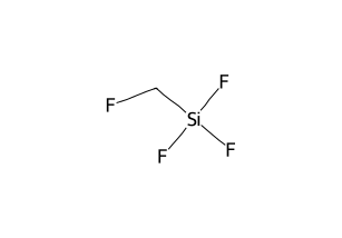 FC[Si](F)(F)F